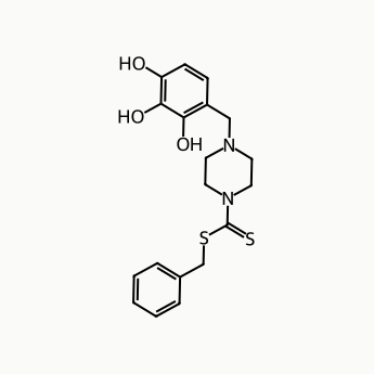 Oc1ccc(CN2CCN(C(=S)SCc3ccccc3)CC2)c(O)c1O